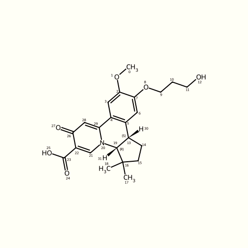 COc1cc2c(cc1OCCCO)[C@@H]1CCC(C)(C)[C@@H]1n1cc(C(=O)O)c(=O)cc1-2